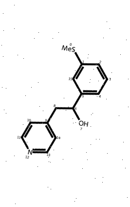 CSc1cccc(C(O)Cc2ccncc2)c1